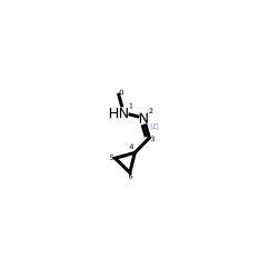 CN/N=C\C1CC1